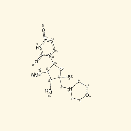 CCC1(CN2CCOCC2)OC(n2ccc(=O)[nH]c2=O)C(OC)C1O